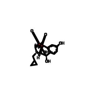 O=C1C[C@]23CCN(CC4CC4)[C@H]([C@H](O)c4ccc(O)cc42)[C@]3(O)CCCNC(=O)N1